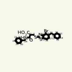 O=C(O)C(CSc1nc2c(Br)c(Cc3ccccc3)ccc2s1)C(=O)NCc1ccccc1